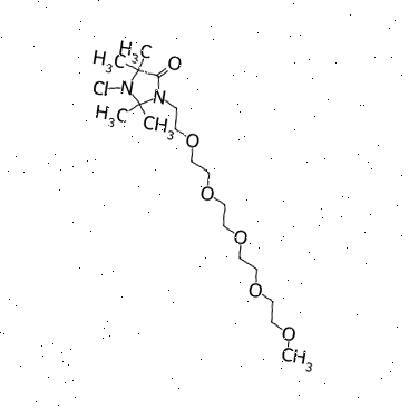 COCCOCCOCCOCCOCCN1C(=O)C(C)(C)N(Cl)C1(C)C